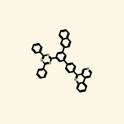 c1ccc(-c2nc(-c3ccccc3)nc(-c3cc(-c4ccc(-c5nc6ccccc6c6ccncc56)cc4)cc(-c4ccc5ccccc5c4)c3)n2)cc1